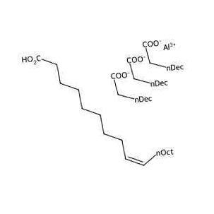 CCCCCCCC/C=C\CCCCCCCC(=O)O.CCCCCCCCCCCC(=O)[O-].CCCCCCCCCCCC(=O)[O-].CCCCCCCCCCCC(=O)[O-].[Al+3]